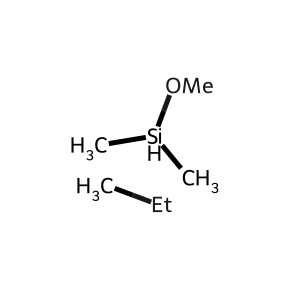 CCC.CO[SiH](C)C